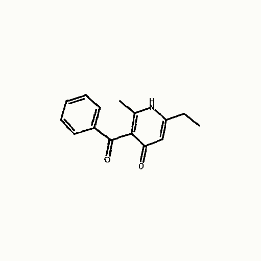 CCc1cc(=O)c(C(=O)c2ccccc2)c(C)[nH]1